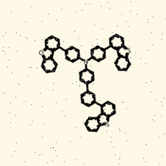 c1cc(-c2ccc(N(c3ccc(-c4cccc5oc6ccccc6c45)cc3)c3ccc(-c4cccc5sc6ccccc6c45)cc3)cc2)cc(-c2cccc3sc4ccccc4c23)c1